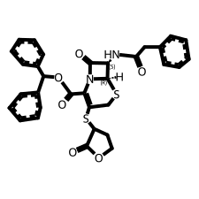 O=C(Cc1ccccc1)N[C@H]1C(=O)N2C(C(=O)OC(c3ccccc3)c3ccccc3)=C(SC3CCOC3=O)CS[C@H]12